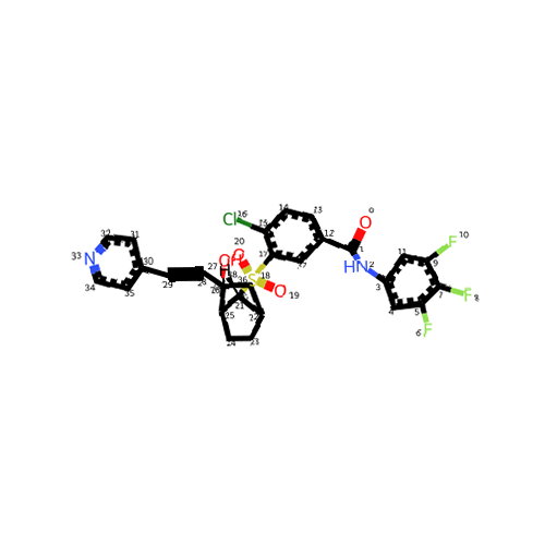 O=C(Nc1cc(F)c(F)c(F)c1)c1ccc(Cl)c(S(=O)(=O)[C@@H]2C3CCC2[C@](O)(C#Cc2ccncc2)C3)c1